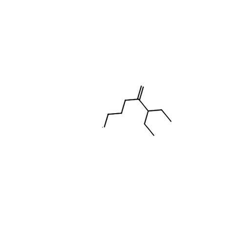 [CH2]CCCC(=C)C(CC)CC